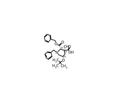 CC(C)(C)O[C@@H]1CN(Cc2ccccc2)[C@H](C(=O)OCc2ccccc2)[C@@](C)(C(=O)O)C1